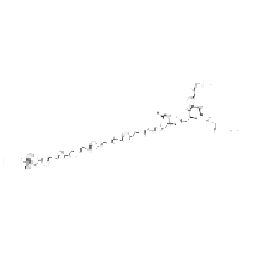 CCCCCCCCCCCCOc1cc(CN/C=C(/COCCOCCOCCOCCOCCOCCOCCOCCP(C)(=O)F)N=N)cc(OCCCCCCCCCCCC)c1